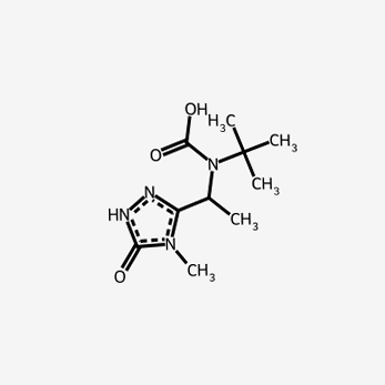 CC(c1n[nH]c(=O)n1C)N(C(=O)O)C(C)(C)C